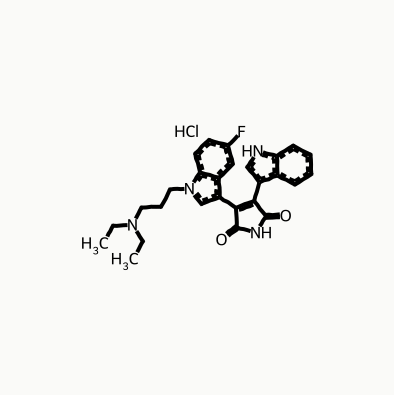 CCN(CC)CCCn1cc(C2=C(c3c[nH]c4ccccc34)C(=O)NC2=O)c2cc(F)ccc21.Cl